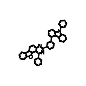 c1ccc(-c2nc(-c3cccc(-c4cccc5c4c4ccccc4n5-c4ccccc4)c3)nc3ccc4c5ccccc5oc4c23)cc1